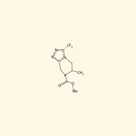 CC1Cn2c(nnc2C(F)(F)F)CN1C(=O)OC(C)(C)C